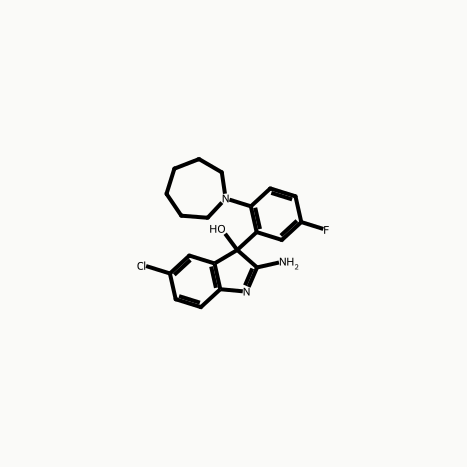 NC1=Nc2ccc(Cl)cc2C1(O)c1cc(F)ccc1N1CCCCCC1